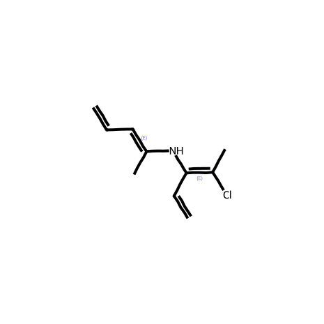 C=C/C=C(\C)N/C(C=C)=C(\C)Cl